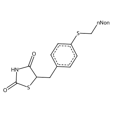 CCCCCCCCCCSc1ccc(CC2SC(=O)NC2=O)cc1